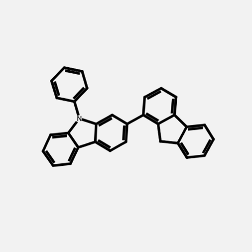 c1ccc(-n2c3ccccc3c3ccc(-c4cccc5c4Cc4ccccc4-5)cc32)cc1